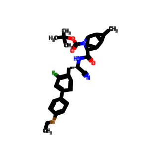 CCSc1ccc(-c2ccc(C[C@@H](C#N)NC(=O)C3C4CC(C5C(C)C45)N3C(=O)OC(C)(C)C)c(F)c2)cc1